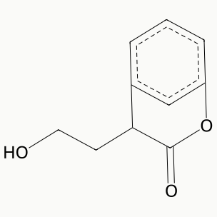 O=C1Oc2cccc(c2)C1CCO